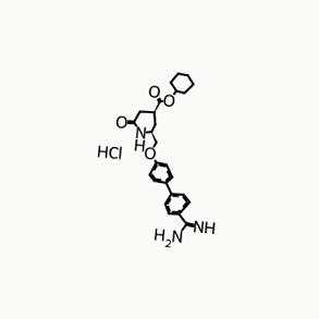 Cl.N=C(N)c1ccc(-c2ccc(OC[C@@H]3C[C@H](C(=O)OC4CCCCC4)CC(=O)N3)cc2)cc1